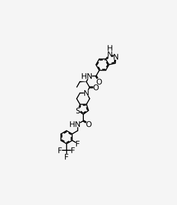 CC[C@@H](NC(=O)c1ccc2[nH]ncc2c1)C(=O)N1CCc2sc(C(=O)NCc3cccc(C(F)(F)F)c3F)cc2C1